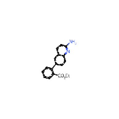 CCOC(=O)c1ccccc1-c1ccc2nc(N)ccc2c1